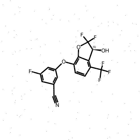 N#Cc1cc(F)cc(Oc2ccc(C(F)(F)F)c3c2OC(F)(F)[C@H]3O)c1